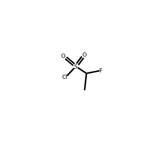 CC(F)S(=O)(=O)Cl